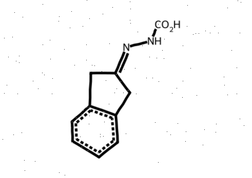 O=C(O)NN=C1Cc2ccccc2C1